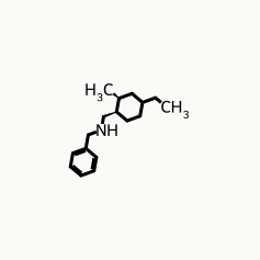 CCC1CC[C@@H](CNCc2ccccc2)[C@@H](C)C1